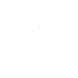 CC(C)(C)[Si](C)(C)CCBr